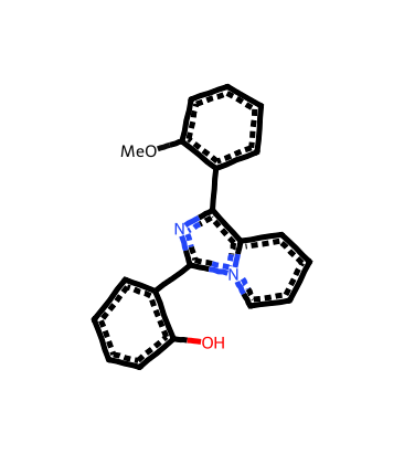 COc1ccccc1-c1nc(-c2ccccc2O)n2ccccc12